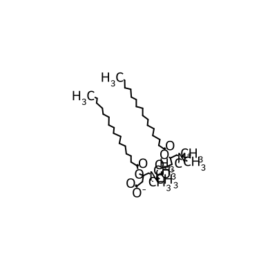 CCCCCCCCCCCCCCCC(=O)OC(CC(=O)[O-])C[N+](C)(C)C.CCCCCCCCCCCCCCCC(=O)OC(CC(=O)[O-])C[N+](C)(C)C